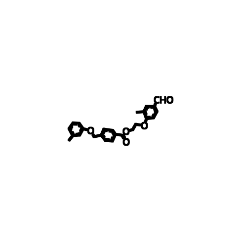 Cc1cccc(OCc2ccc(C(=O)OCCOc3ccc(C=O)cc3C)cc2)c1